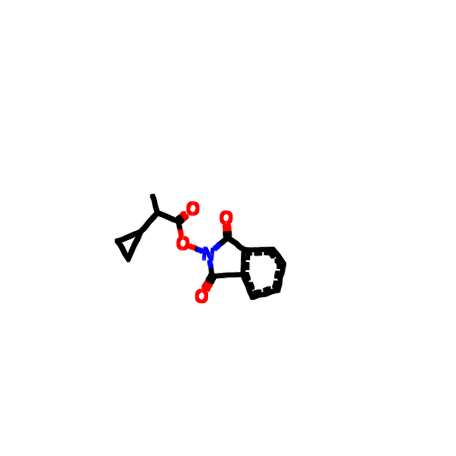 CC(C(=O)ON1C(=O)c2ccccc2C1=O)C1CC1